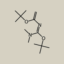 C=C(/N=C(/OC(C)(C)C)N(C)C)OC(C)(C)C